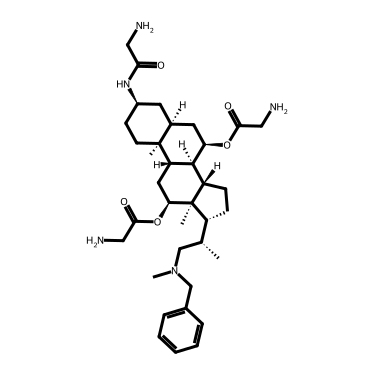 C[C@H](CN(C)Cc1ccccc1)[C@H]1CC[C@H]2[C@@H]3[C@H](OC(=O)CN)C[C@@H]4C[C@H](NC(=O)CN)CC[C@]4(C)[C@H]3C[C@H](OC(=O)CN)[C@]12C